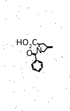 C=C1CC(C(=O)O)N(C(=O)c2ccccc2)C1